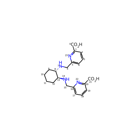 O=C(O)c1cccc(CN[C@H]2CCCC[C@@H]2NCc2cccc(C(=O)O)n2)n1